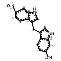 N#Cc1ccc2c(Cc3c[nH]c4cc([N+](=O)[O-])ccc34)c[nH]c2c1